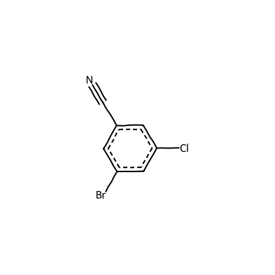 N#Cc1cc(Cl)cc(Br)c1